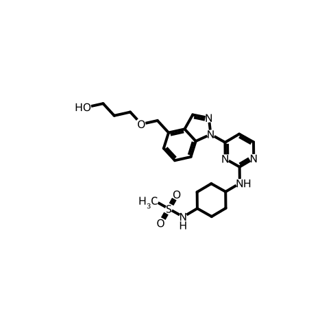 CS(=O)(=O)NC1CCC(Nc2nccc(-n3ncc4c(COCCCO)cccc43)n2)CC1